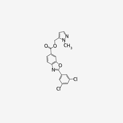 Cn1nccc1COC(=O)c1ccc2nc(-c3cc(Cl)cc(Cl)c3)oc2c1